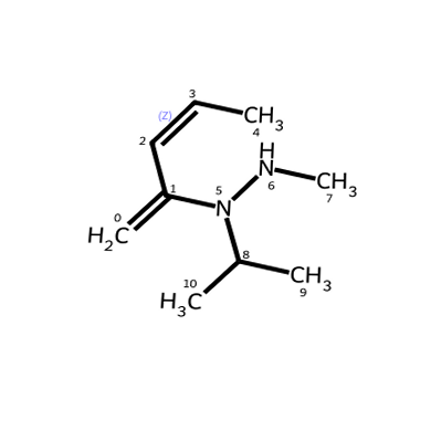 C=C(/C=C\C)N(NC)C(C)C